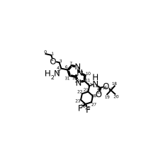 CCOC[C@@H](N)c1cnn2cc([C@@H](NC(=O)OC(C)(C)C)C3CCC(F)(F)CC3)nc2c1